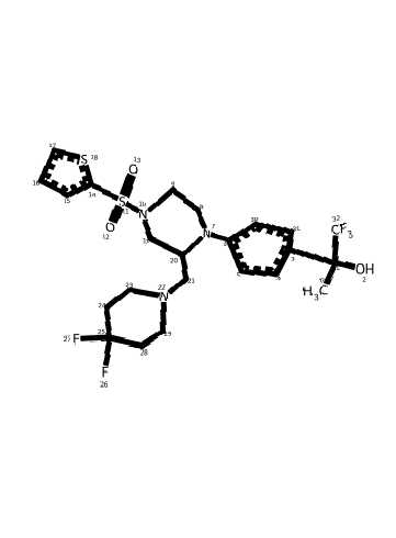 CC(O)(c1ccc(N2CCN(S(=O)(=O)c3cccs3)CC2CN2CCC(F)(F)CC2)cc1)C(F)(F)F